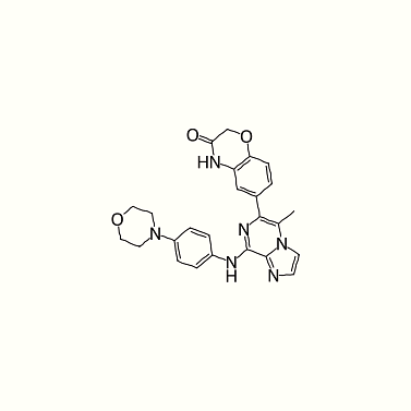 Cc1c(-c2ccc3c(c2)NC(=O)CO3)nc(Nc2ccc(N3CCOCC3)cc2)c2nccn12